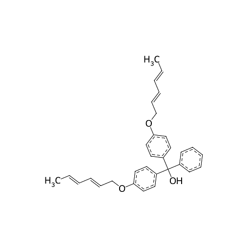 CC=CC=CCOc1ccc(C(O)(c2ccccc2)c2ccc(OCC=CC=CC)cc2)cc1